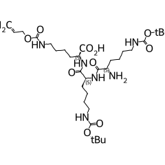 C=CCOC(=O)NCCCC[C@H](NC(=O)[C@H](CCCCNC(=O)OC(C)(C)C)NC(=O)[C@@H](N)CCCCNC(=O)OC(C)(C)C)C(=O)O